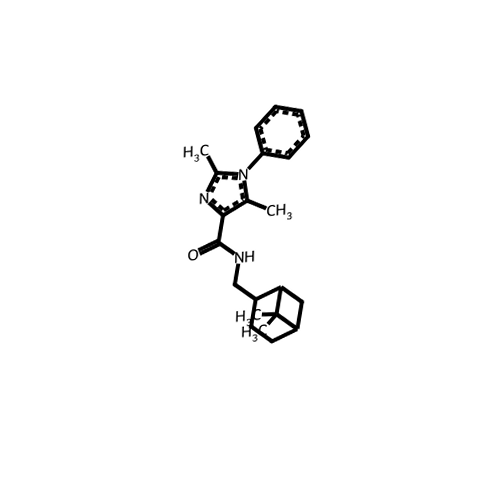 Cc1nc(C(=O)NCC2CCC3CC2C3(C)C)c(C)n1-c1ccccc1